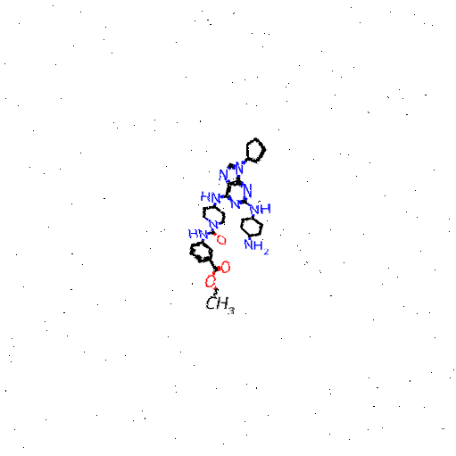 CCOC(=O)c1cccc(NC(=O)N2CCC(Nc3nc(NC4CCC(N)CC4)nc4c3ncn4C3CCCC3)CC2)c1